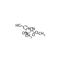 C#Cc1ccc2c(c1)C(=O)N(C)Cc1c(C(=O)OCC)ncn1-2